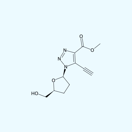 C#Cc1c(C(=O)OC)nnn1[C@H]1CC[C@@H](CO)O1